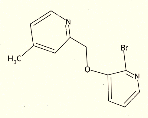 Cc1ccnc(COc2cccnc2Br)c1